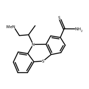 CNCC(C)N1c2ccccc2Sc2ccc(C(N)=S)cc21